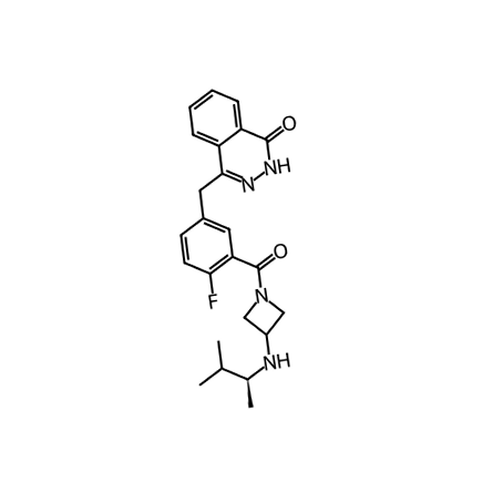 CC(C)[C@H](C)NC1CN(C(=O)c2cc(Cc3n[nH]c(=O)c4ccccc34)ccc2F)C1